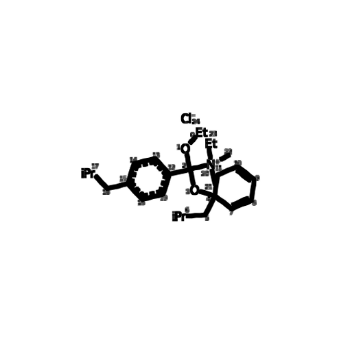 CCOC(OC1(CC(C)C)C=CC=CC1)(c1ccc(CC(C)C)cc1)[N+](C)(C)CC.[Cl-]